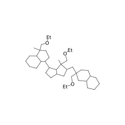 CCOCC1(CC2CC3CCC(C4CCC(C)(COCC)C5CCCCC45)C3C2(C)COCC)CCC2CCCCC2C1